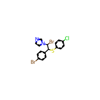 Clc1ccc(SC(c2ccc(Br)cc2)C(Br)n2ccnc2)cc1